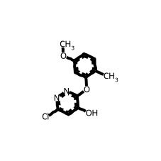 COc1ccc(C)c(Oc2nnc(Cl)cc2O)c1